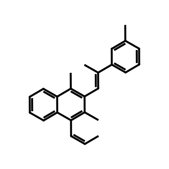 C/C=C\c1c(C)c(/C=C(\C)c2cccc(C)c2)c(C)c2ccccc12